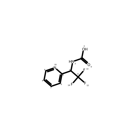 O=C(O)NC(c1ccccn1)C(F)(F)F